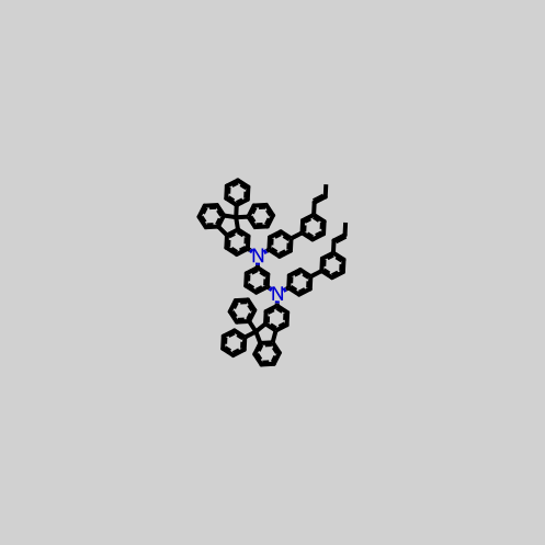 C/C=C/c1cccc(-c2ccc(N(c3cccc(N(c4ccc(-c5cccc(/C=C/C)c5)cc4)c4ccc5c(c4)C(c4ccccc4)(c4ccccc4)c4ccccc4-5)c3)c3ccc4c(c3)C(c3ccccc3)(c3ccccc3)c3ccccc3-4)cc2)c1